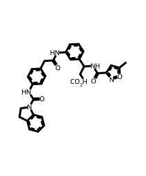 Cc1cc(C(=O)NC(CC(=O)O)c2cccc(NC(=O)Cc3ccc(NC(=O)N4CCc5ccccc54)cc3)c2)no1